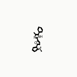 Cc1nc(-c2ccc(-c3ccccc3N(C)C)o2)[nH]c1-c1ccccc1